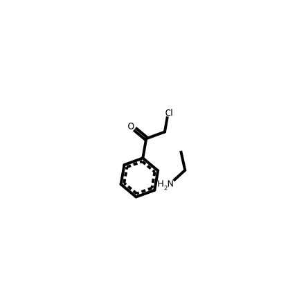 CCN.O=C(CCl)c1ccccc1